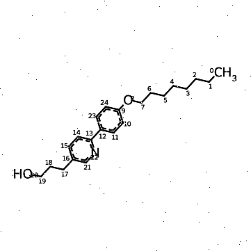 CCCCCCCCOc1ccc(-c2ccc(CCCO)cn2)cc1